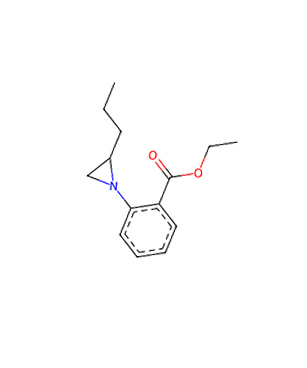 CCCC1CN1c1ccccc1C(=O)OCC